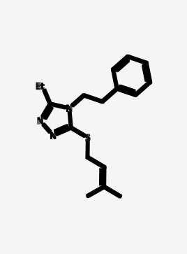 CCc1nnc(SCC=C(C)C)n1CCc1ccccc1